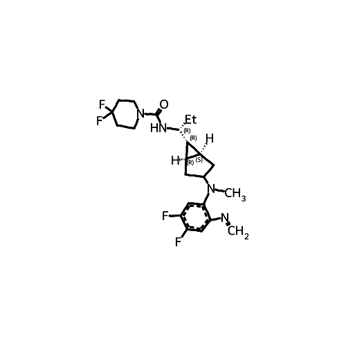 C=Nc1cc(F)c(F)cc1N(C)C1C[C@@H]2[C@H](C1)[C@H]2[C@@H](CC)NC(=O)N1CCC(F)(F)CC1